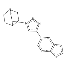 c1cc2cc(-c3cn(C4CN5CCC4CC5)nn3)ccc2o1